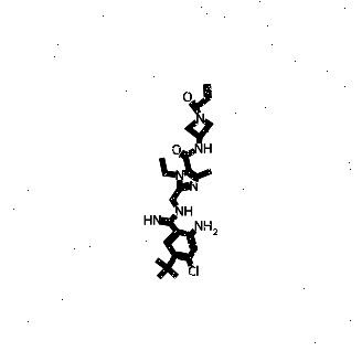 C=CC(=O)N1CC(NC(=O)c2c(C)nc(CNC(=N)c3cc(C(C)(C)C)c(Cl)cc3N)n2CC)C1